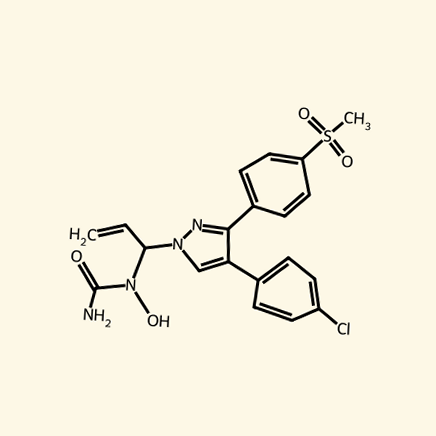 C=CC(N(O)C(N)=O)n1cc(-c2ccc(Cl)cc2)c(-c2ccc(S(C)(=O)=O)cc2)n1